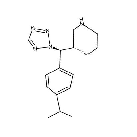 CC(C)c1ccc([C@H]([C@H]2CCCNC2)n2ncnn2)cc1